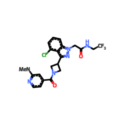 CNc1cc(C(=O)N2CC(c3nn(CC(=O)NCC(F)(F)F)c4cccc(Cl)c34)C2)ccn1